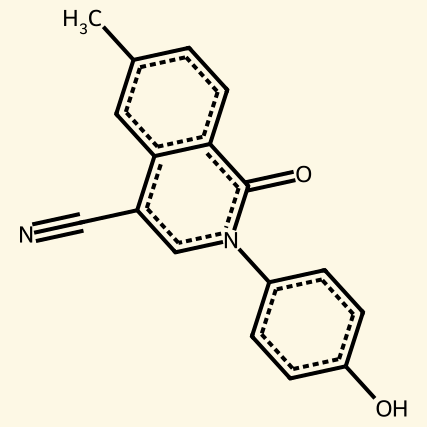 Cc1ccc2c(=O)n(-c3ccc(O)cc3)cc(C#N)c2c1